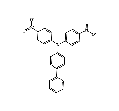 O=[N+]([O-])c1ccc(N(c2ccc(-c3ccccc3)cc2)c2ccc([N+](=O)[O-])cc2)cc1